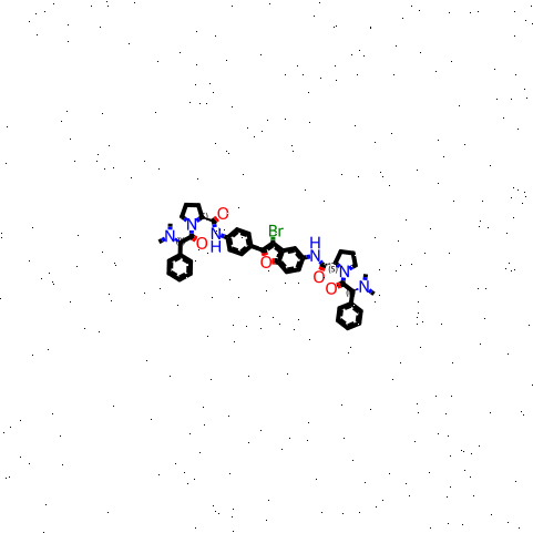 CN(C)[C@@H](C(=O)N1CCC[C@H]1C(=O)Nc1ccc(-c2oc3ccc(NC(=O)[C@@H]4CCCN4C(=O)[C@@H](c4ccccc4)N(C)C)cc3c2Br)cc1)c1ccccc1